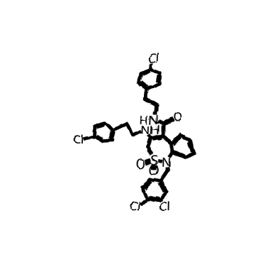 O=C(NCCc1ccc(Cl)cc1)C1=C(NCCc2ccc(Cl)cc2)CS(=O)(=O)N(Cc2ccc(Cl)c(Cl)c2)c2ccccc21